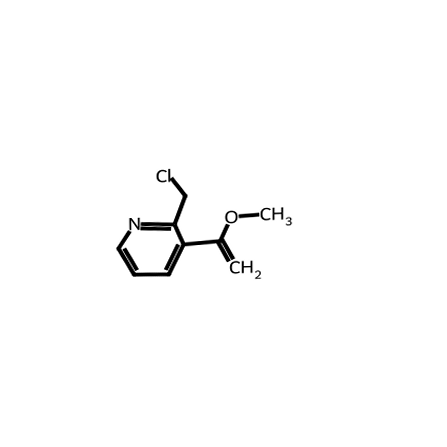 C=C(OC)c1cccnc1CCl